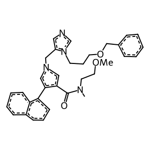 COCCN(C)C(=O)c1cn(Cc2cncn2CCCOCc2ccccc2)cc1-c1cccc2ccccc12